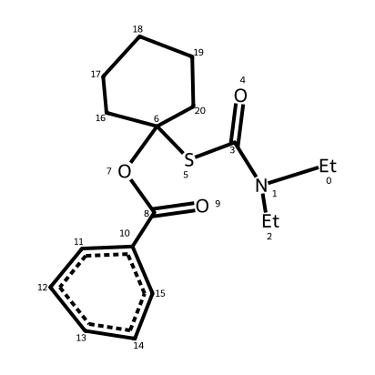 CCN(CC)C(=O)SC1(OC(=O)c2ccccc2)CCCCC1